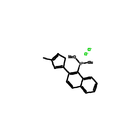 C[O][Ti+2]([c]1c(C2=CC(C)=CC2)ccc2ccccc12)[C](C)(C)C.[Cl-].[Cl-]